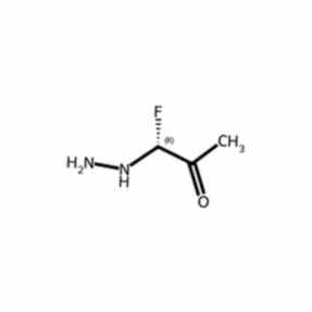 CC(=O)[C@@H](F)NN